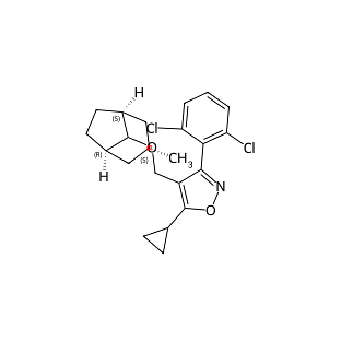 C[C@@H]1C[C@H]2CC[C@@H](C1)C2OCc1c(-c2c(Cl)cccc2Cl)noc1C1CC1